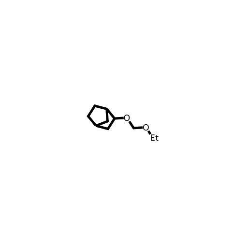 CCOCOC1CC2CCC1C2